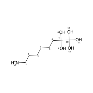 NCCCCCCC(O)(O)C(O)(O)O